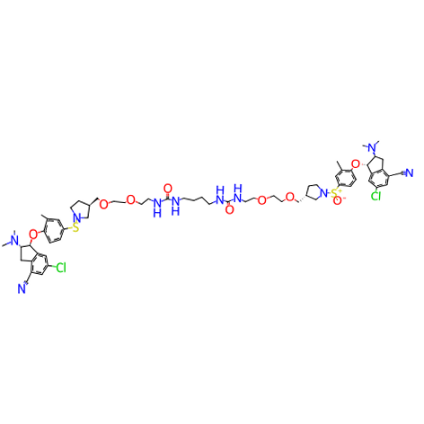 Cc1cc(SN2CC[C@@H](COCCOCCNC(=O)NCCCCNC(=O)NCCOCCOC[C@@H]3CCN([S+]([O-])c4ccc(O[C@H]5c6cc(Cl)cc(C#N)c6C[C@@H]5N(C)C)c(C)c4)C3)C2)ccc1O[C@H]1c2cc(Cl)cc(C#N)c2C[C@@H]1N(C)C